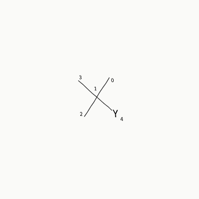 C[C](C)(C)[Y]